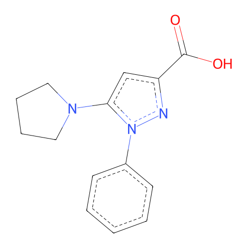 O=C(O)c1cc(N2CCCC2)n(-c2ccccc2)n1